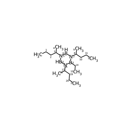 CCCC(C)N1BN(C(C)CCC)B(CC)N(C(C)CCC)B1